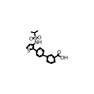 CC(C)S(=O)(=O)Nc1ccsc1-c1ccc(-c2cccc(C(=O)O)c2)cc1